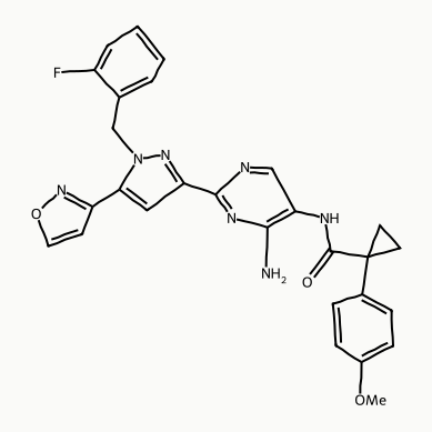 COc1ccc(C2(C(=O)Nc3cnc(-c4cc(-c5ccon5)n(Cc5ccccc5F)n4)nc3N)CC2)cc1